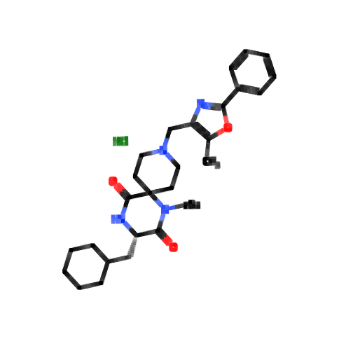 CCCCN1C(=O)[C@H](CC2CCCCC2)NC(=O)C12CCN(Cc1nc(-c3ccccc3)oc1C)CC2.Cl